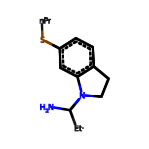 C[CH]C(N)N1CCc2ccc(SCCC)cc21